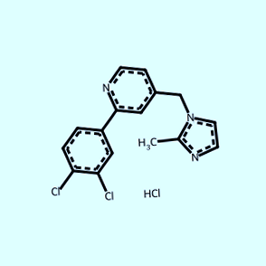 Cc1nccn1Cc1ccnc(-c2ccc(Cl)c(Cl)c2)c1.Cl